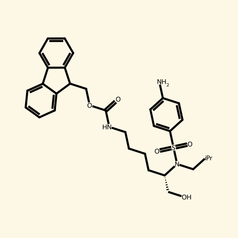 CC(C)CN([C@H](CO)CCCCNC(=O)OCC1c2ccccc2-c2ccccc21)S(=O)(=O)c1ccc(N)cc1